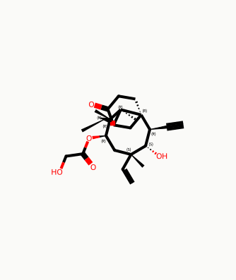 C#C[C@H]1[C@H](O)[C@](C)(C=C)C[C@@H](OC(=O)CO)[C@]2(C)[C@H](C)CC34C[C@@]1(CCC3=O)[C@@]42C